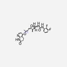 C=C1/C(=C\C=C(/C)Oc2ccnc3c2CCC(=O)N3)O[C@@H]2[C@@H](NC(=O)Nc3cccc(F)c3F)[C@H]12